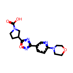 O=C(O)N1CCC(c2nc(-c3ccc(N4CCOCC4)nc3)no2)C1